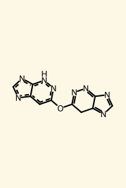 C1=NC2=NN=C(Oc3cc4ncnc-4[nH]n3)CC2=N1